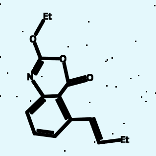 CCC=Cc1cccc2nc(OCC)oc(=O)c12